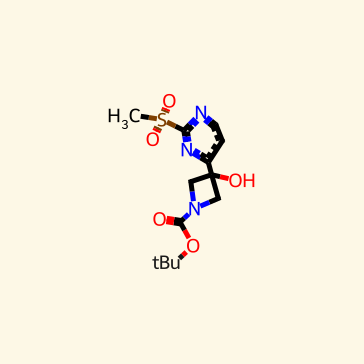 CC(C)(C)OC(=O)N1CC(O)(c2ccnc(S(C)(=O)=O)n2)C1